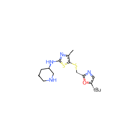 Cc1nc(N[C@@H]2CCCNC2)sc1SCc1ncc(C(C)(C)C)o1